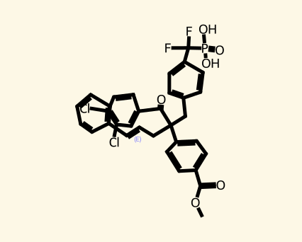 COC(=O)c1ccc(C(C/C=C/c2ccccc2)(Cc2ccc(C(F)(F)P(=O)(O)O)cc2)C(=O)c2ccc(Cl)c(Cl)c2)cc1